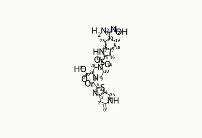 CC1Cc2nc(C(=O)N3CCN(S(=O)(=O)c4cc5ccc(/C(N)=N\O)cc5[nH]4)CC3C(=O)O)sc2CN1